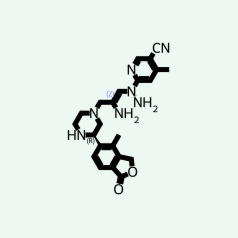 Cc1cc(N(N)/C=C(\N)CN2CCN[C@H](c3ccc4c(c3C)COC4=O)C2)ncc1C#N